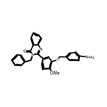 COc1ccc(-c2nc3ccccc3c(=O)n2Cc2ccccc2)cc1OCc1ccc(NC(C)=O)cc1